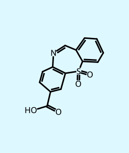 O=C(O)c1ccc2c(c1)S(=O)(=O)c1ccccc1C=N2